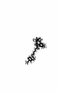 N#Cc1ccc2c(cnn2CCCCCCC23CC(C(=O)N4N=CCC4c4cc(F)cc(F)c4)(C2)C3)c1